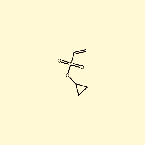 C=CS(=O)(=O)OC1CC1